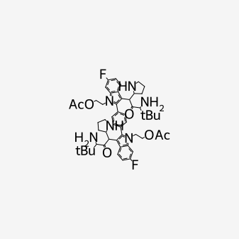 CC(=O)OCCn1c(-c2ccc(-c3c(C(C(=O)C(N)C(C)(C)C)C4CCCN4)c4ccc(F)cc4n3CCOC(C)=O)cc2)c(C(C(=O)C(N)C(C)(C)C)C2CCCN2)c2ccc(F)cc21